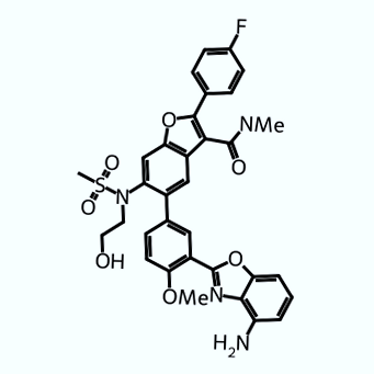 CNC(=O)c1c(-c2ccc(F)cc2)oc2cc(N(CCO)S(C)(=O)=O)c(-c3ccc(OC)c(-c4nc5c(N)cccc5o4)c3)cc12